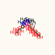 CN(C)[PH](On1nnc2ccccc21)(N(C)C)N(C)C.O=P(O)(O)F.O=P(O)(O)F.O=P(O)(O)F.O=P(O)(O)F.O=P(O)(O)F.O=P(O)(O)F